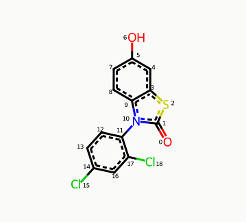 O=c1sc2cc(O)ccc2n1-c1ccc(Cl)cc1Cl